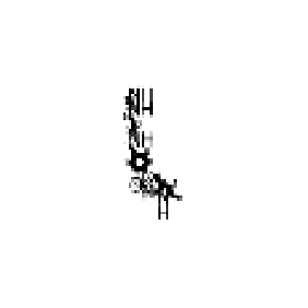 Cc1cc2cn(-c3ccc(CNCCCNC=N)cc3)c(=O)nc2[nH]1